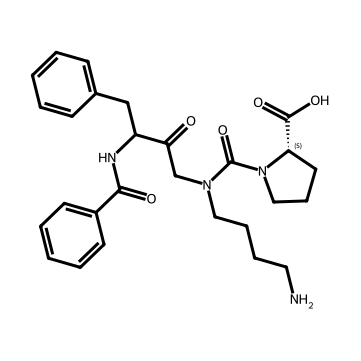 NCCCCN(CC(=O)C(Cc1ccccc1)NC(=O)c1ccccc1)C(=O)N1CCC[C@H]1C(=O)O